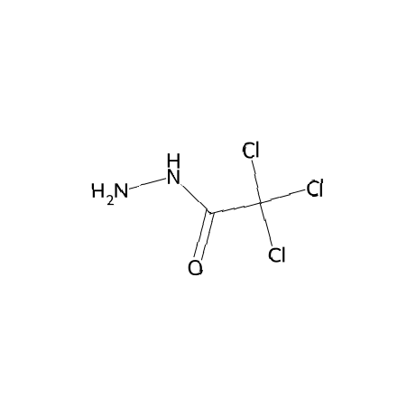 NNC(=O)C(Cl)(Cl)Cl